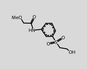 COCC(=O)Nc1cccc(S(=O)(=O)CCO)c1